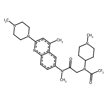 Cc1cc(N2CCN(C)CC2)nc2ccc(N(C)C(=O)CN(C(=O)C(F)(F)F)C3CCN(C)CC3)cc12